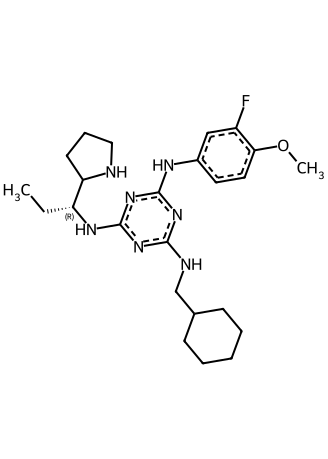 CC[C@@H](Nc1nc(NCC2CCCCC2)nc(Nc2ccc(OC)c(F)c2)n1)C1CCCN1